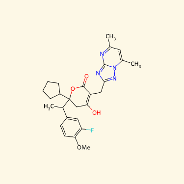 COc1ccc(C(C)C2(C3CCCC3)CC(O)=C(Cc3nc4nc(C)cc(C)n4n3)C(=O)O2)cc1F